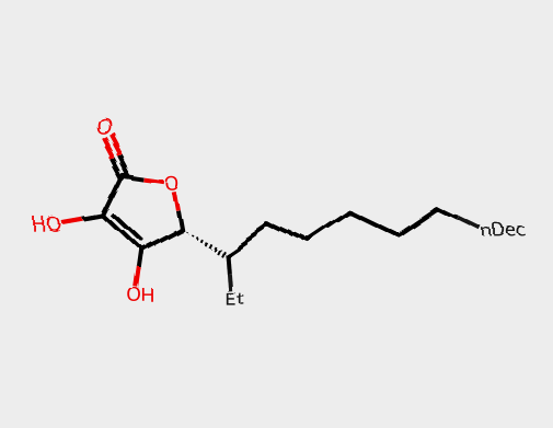 CCCCCCCCCCCCCCCC(CC)[C@H]1OC(=O)C(O)=C1O